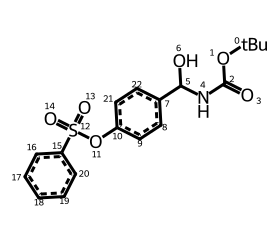 CC(C)(C)OC(=O)NC(O)c1ccc(OS(=O)(=O)c2ccccc2)cc1